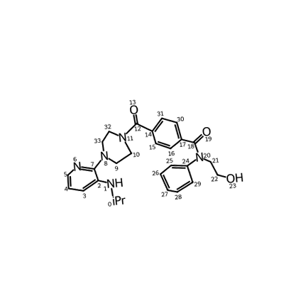 CC(C)Nc1cccnc1N1CCN(C(=O)c2ccc(C(=O)N(CCO)c3ccccc3)cc2)CC1